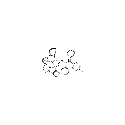 Cc1ccc(N(c2ccccc2)c2cc3c(c4ccccc24)C2(c4ccccc4-c4ccccc42)c2c-3c3ccccc3c3ccccc23)cc1